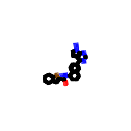 O=C(NC1CCCc2cc(-c3ncnc4[nH]ccc34)ccc21)c1cc2c(s1)CCCC2